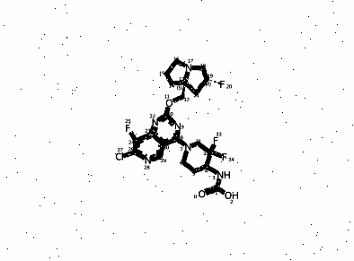 O=C(O)NC1CCN(c2nc(OC[C@@]34CCCN3C[C@H](F)C4)nc3c(F)c(Cl)ncc23)CC1(F)F